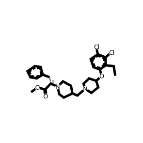 CCc1c(OC2CCN(CC3CCN([C@@H](Cc4ccccc4)C(=O)OC)CC3)CC2)ccc(Cl)c1Cl